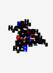 Cc1ccc(Oc2cc(NS(C)(=O)=O)cc(-c3c(C)noc3C)c2)cc1NC(=O)CCCN(C)C